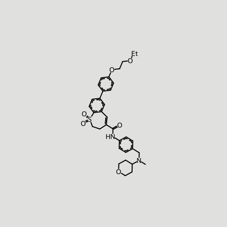 CCOCCOc1ccc(-c2ccc3c(c2)C=C(C(=O)Nc2ccc(CN(C)C4CCOCC4)cc2)CCS3(=O)=O)cc1